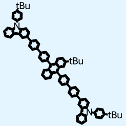 CC(C)(C)c1ccc(-n2c3ccccc3c3cc(-c4ccc(-c5ccc(-c6c7ccccc7c(-c7ccc(-c8ccc(-c9ccc%10c(c9)c9ccccc9n%10-c9ccc(C(C)(C)C)cc9)cc8)cc7)c7cc(C(C)(C)C)ccc67)cc5)cc4)ccc32)cc1